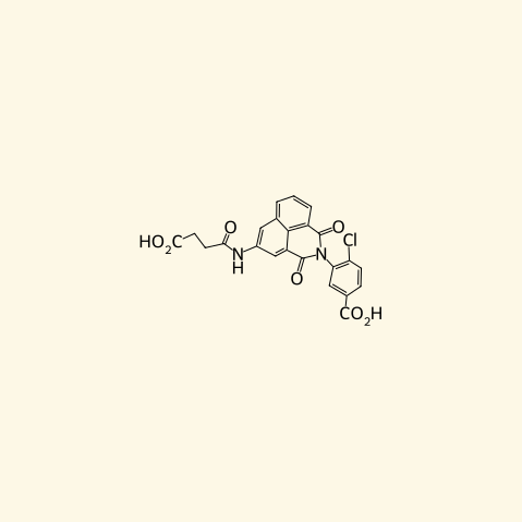 O=C(O)CCC(=O)Nc1cc2c3c(cccc3c1)C(=O)N(c1cc(C(=O)O)ccc1Cl)C2=O